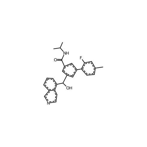 Cc1ccc(-c2cc(C(=O)NC(C)C)cc(C(O)c3cccc4cnccc34)c2)c(F)c1